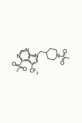 CS(=O)(=O)c1ncnc2c1c(C(F)(F)F)cn2CC1CCN(S(C)(=O)=O)CC1